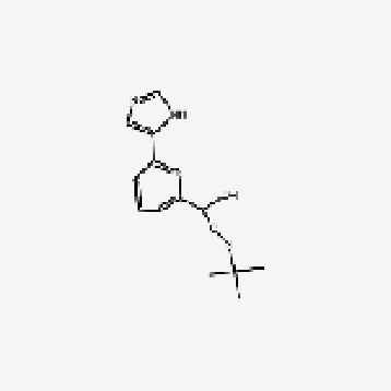 CC(C)(C)NCC(O)c1cccc(-c2cnc[nH]2)n1